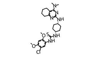 COc1cc(OC)c(NC(=S)N[C@H]2CC[C@@H](Nc3nc4c(c(N(C)C)n3)CCCC4)CC2)cc1Cl